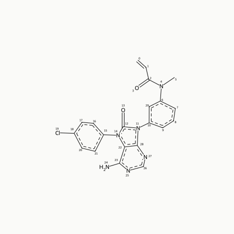 C=CC(=O)N(C)c1cccc(-n2c(=O)n(-c3ccc(Cl)cc3)c3c(N)ncnc32)c1